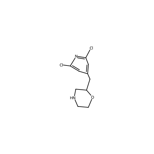 Clc1cc(CC2CNCCO2)cc(Cl)n1